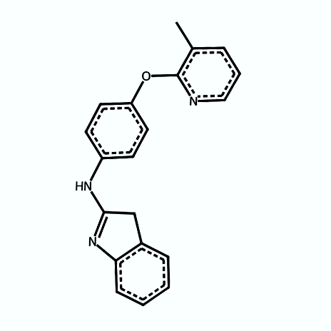 Cc1cccnc1Oc1ccc(NC2=Nc3ccccc3C2)cc1